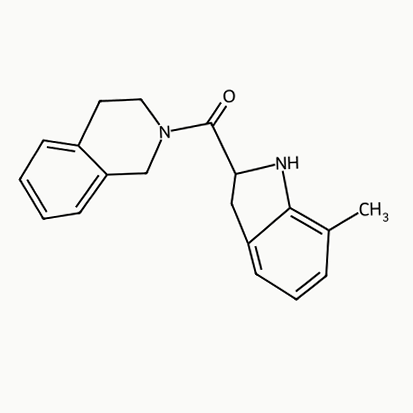 Cc1cccc2c1NC(C(=O)N1CCc3ccccc3C1)C2